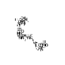 CC(C)(C)OC(=O)N(CC(F)(F)F)c1cc(-c2nc(C(=O)Nc3cn(-c4ccc(C(=O)NCC#CC#CCNc5cccc6c5C(=O)N(C5CCC(=O)NC5=O)C6=O)cc4)nc3C(N)=O)co2)ccn1